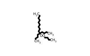 CCCCCCCCCC(CCCC)(CCCC)OOCCCC